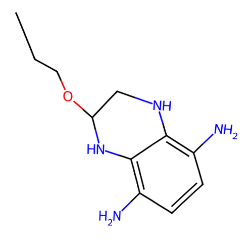 CCCOC1CNc2c(N)ccc(N)c2N1